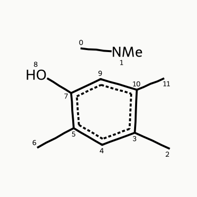 CNC.Cc1cc(C)c(O)cc1C